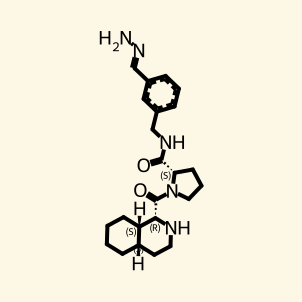 NN=Cc1cccc(CNC(=O)[C@@H]2CCCN2C(=O)[C@@H]2NCC[C@@H]3CCCC[C@@H]32)c1